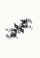 CC[C@H](NC(=O)OC(C)(C)C)C(=O)N1C[C@@H](OC(C)=O)C[C@H]1Cc1c(-c2[nH]c3cc(F)ccc3c2C[C@@H]2C[C@H](OC(C)=O)CN2C(O)[C@H](CC)NC(=O)OC(C)(C)C)[nH]c2cc(F)ccc12